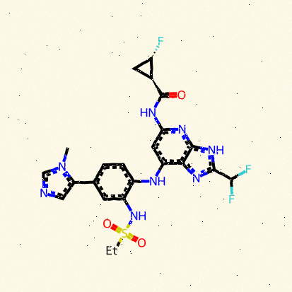 CCS(=O)(=O)Nc1cc(-c2cncn2C)ccc1Nc1cc(NC(=O)[C@H]2C[C@@H]2F)nc2[nH]c(C(F)F)nc12